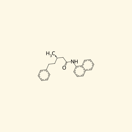 C[C@H](CCc1ccccc1)CC(=O)Nc1cccc2ccccc12